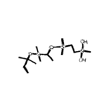 CCC(C)(C)O[Si](C)(C)C(C)O[Si](C)(C)CC[Si](C)(O)O